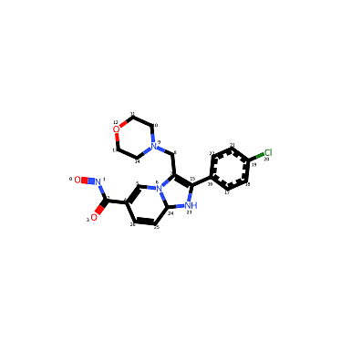 O=NC(=O)C1=CN2C(CN3CCOCC3)=C(c3ccc(Cl)cc3)NC2C=C1